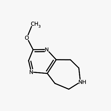 COc1cnc2c(n1)CCNCC2